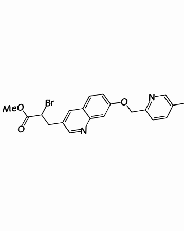 CCc1ccc(COc2ccc3cc(CC(Br)C(=O)OC)cnc3c2)nc1